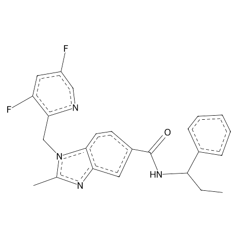 CCC(NC(=O)c1ccc2c(c1)nc(C)n2Cc1ncc(F)cc1F)c1ccccc1